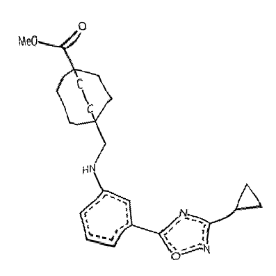 COC(=O)C12CCC(CNc3cccc(-c4nc(C5CC5)no4)c3)(CC1)CC2